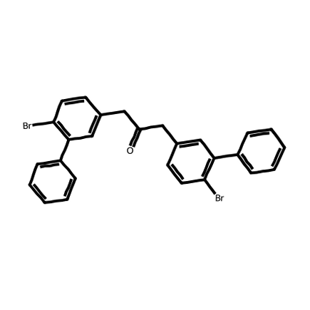 O=C(Cc1ccc(Br)c(-c2ccccc2)c1)Cc1ccc(Br)c(-c2ccccc2)c1